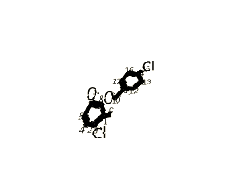 Cc1c(Cl)ccc([O])c1OCc1ccc(Cl)cc1